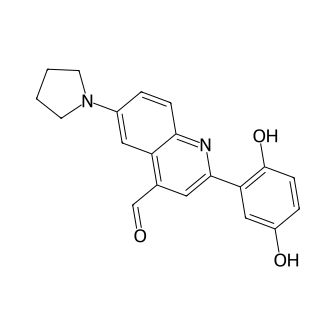 O=Cc1cc(-c2cc(O)ccc2O)nc2ccc(N3CCCC3)cc12